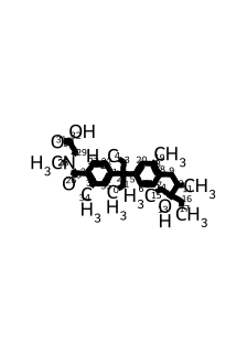 CCC(CC)(c1ccc(CC(C)C(O)(CC)CC)c(C)c1)c1ccc(C(=O)N(C)CC(=O)O)c(C)c1